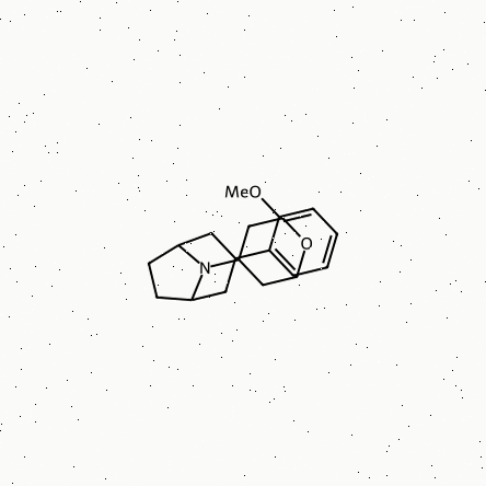 COc1ccccc1C1CC2CCC(C1)N2C1CCOCC1